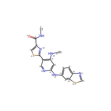 CCNC(=O)c1csc(-c2cnc(Nc3ccc4ncsc4c3)cc2NC(C)C)n1